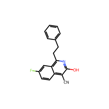 N#Cc1c(O)nc(CCc2ccccc2)c2cc(F)ccc12